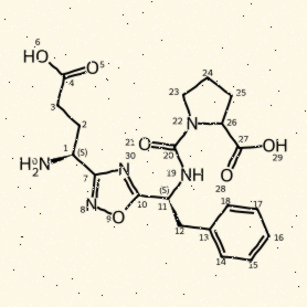 N[C@@H](CCC(=O)O)c1noc([C@H](Cc2ccccc2)NC(=O)N2CCCC2C(=O)O)n1